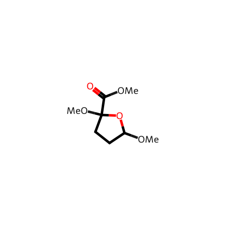 COC(=O)C1(OC)CCC(OC)O1